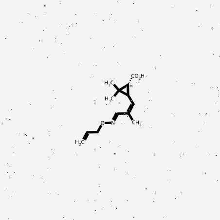 C=CCON=CC(C)=CC1[C@@H](C(=O)O)C1(C)C